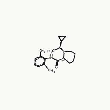 Cc1cccc(C)c1NC(=O)[C@@H]1CCCCN1C(C)C1CC1